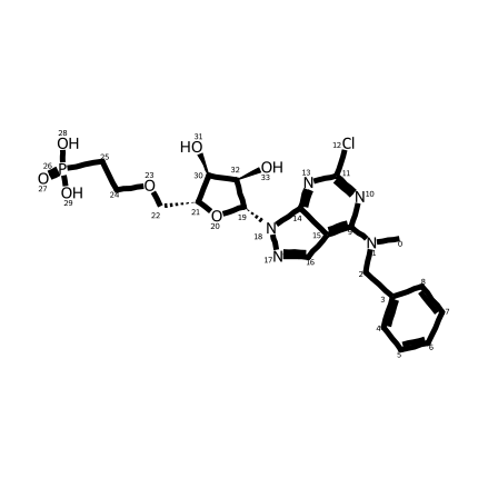 CN(Cc1ccccc1)c1nc(Cl)nc2c1cnn2[C@@H]1O[C@H](COCCP(=O)(O)O)[C@@H](O)[C@H]1O